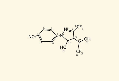 N#Cc1ccc(N2N=C(C(F)(F)F)C(C(O)C(F)(F)F)C2O)cc1